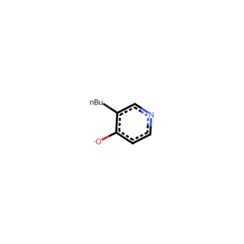 CCCCc1cnccc1[O]